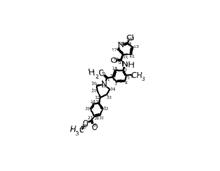 C=C(c1ccc(C)c(NC(=O)c2ccc(Cl)nc2)c1)N1CCC(c2ccc(C(=O)OC)cc2)CC1